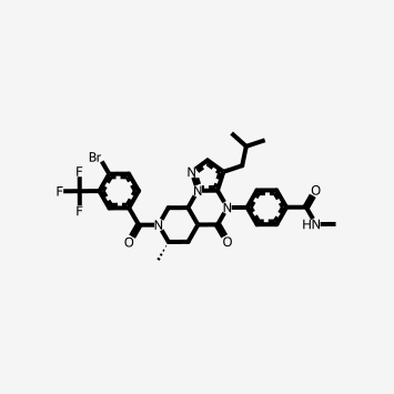 CNC(=O)c1ccc(N2C(=O)C3C[C@H](C)N(C(=O)c4ccc(Br)c(C(F)(F)F)c4)CC3n3ncc(CC(C)C)c32)cc1